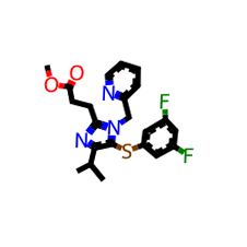 COC(=O)CCc1nc(C(C)C)c(Sc2cc(F)cc(F)c2)n1Cc1ccccn1